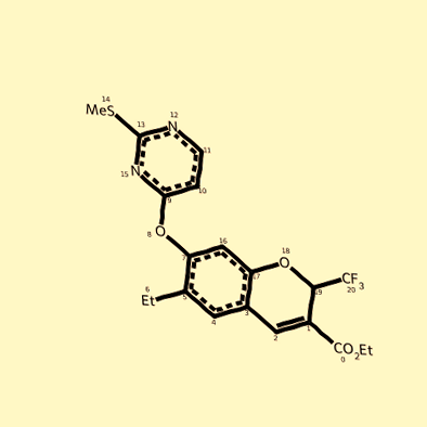 CCOC(=O)C1=Cc2cc(CC)c(Oc3ccnc(SC)n3)cc2OC1C(F)(F)F